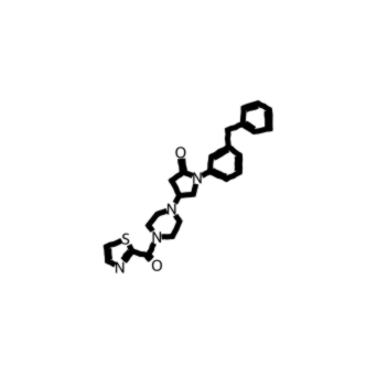 O=C(c1nccs1)N1CCN(C2CC(=O)N(c3cccc(Cc4ccccc4)c3)C2)CC1